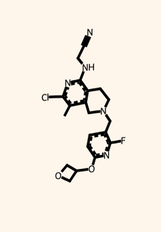 Cc1c(Cl)nc(NCC#N)c2c1CN(Cc1ccc(OC3COC3)nc1F)CC2